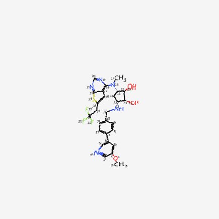 COc1cncc(-c2ccc(CN[C@@H]3C[C@H](N(C)c4ncnc5sc(CC(F)(F)F)cc45)[C@@H](O)[C@H]3O)cc2)c1